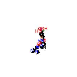 O=C(N[C@H]1CCC[C@H]2CC[C@@H](C(=O)N3CC(c4cnccc4N4CCC4)C3)N2C1=O)c1cc2cc([C@@H](F)P(=O)(O)O)ccc2s1